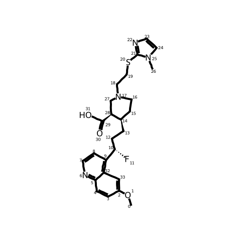 COc1ccc2nccc([C@@H](F)CC[C@@H]3CCN(CCSc4nccn4C)C[C@@H]3C(=O)O)c2c1